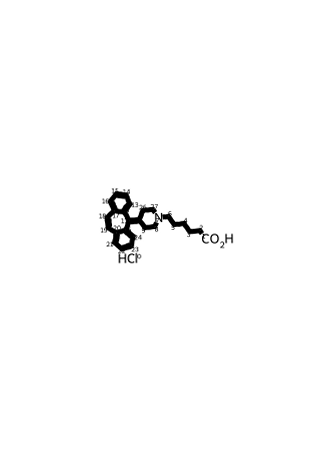 Cl.O=C(O)CCCCCN1CCC(=C2c3ccccc3C=Cc3ccccc32)CC1